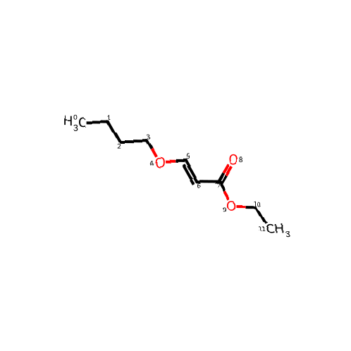 CCCCOC=CC(=O)OCC